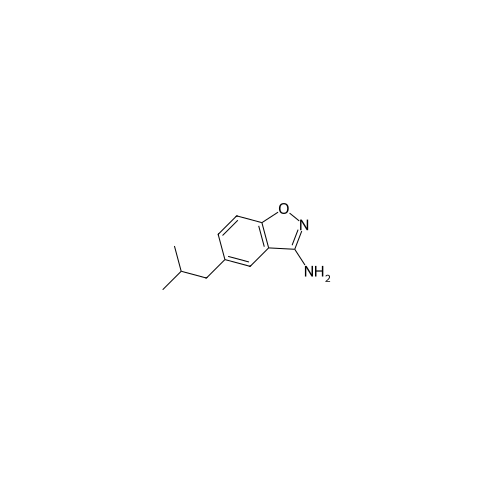 CC(C)Cc1ccc2onc(N)c2c1